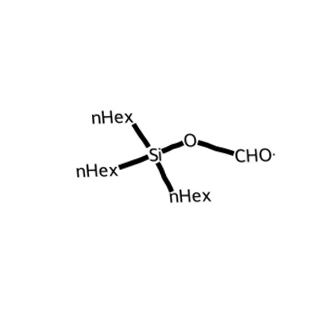 CCCCCC[Si](CCCCCC)(CCCCCC)O[C]=O